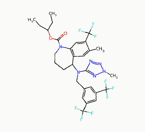 CCC(CC)OC(=O)N1CCCC(N(Cc2cc(C(F)(F)F)cc(C(F)(F)F)c2)c2nnn(C)n2)c2cc(C)c(C(F)(F)F)cc21